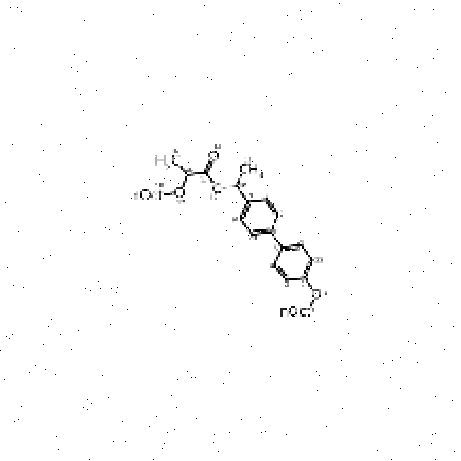 CCCCCCCCOc1ccc(-c2ccc(C(C)OC(=O)C(C)OCCCCCCCC)cc2)cc1